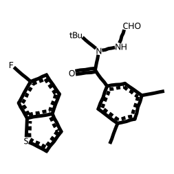 Cc1cc(C)cc(C(=O)N(NC=O)C(C)(C)C)c1.Fc1ccc2ccsc2c1